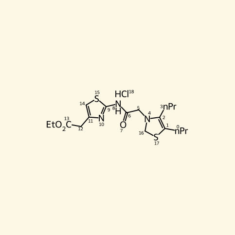 CCCC1=C(CCC)N(CC(=O)Nc2nc(CC(=O)OCC)cs2)CS1.Cl